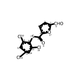 O=Cc1ccc(C(=O)Sc2c(Cl)cc(Cl)cc2Cl)o1